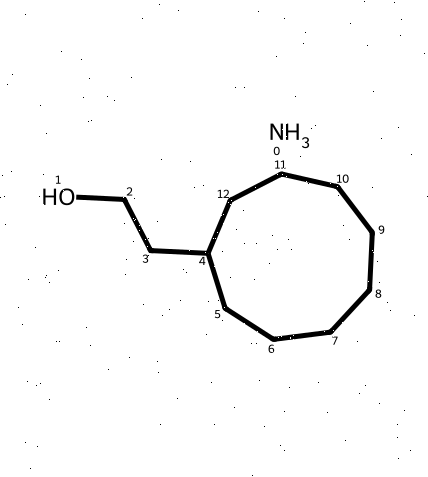 N.OCCC1CCCCCCCC1